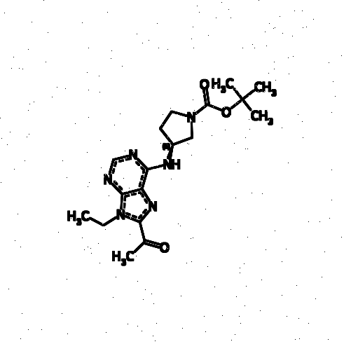 CCn1c(C(C)=O)nc2c(N[C@H]3CCN(C(=O)OC(C)(C)C)C3)ncnc21